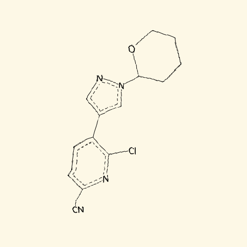 N#Cc1ccc(-c2cnn(C3CCCCO3)c2)c(Cl)n1